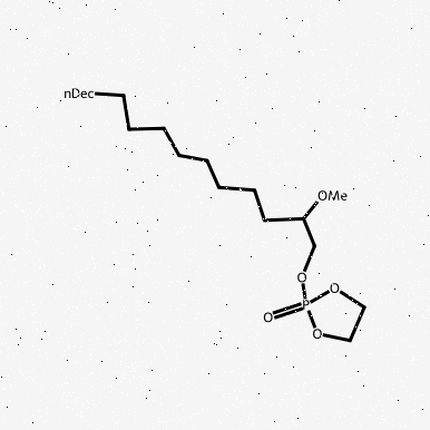 CCCCCCCCCCCCCCCCCCC(COP1(=O)OCCO1)OC